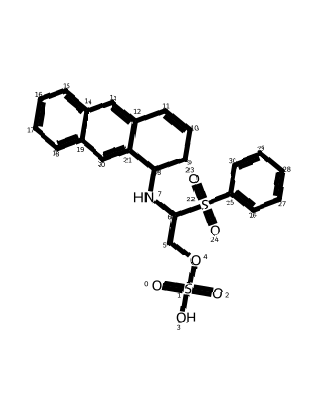 O=S(=O)(O)OCC(NC1CC=Cc2cc3ccccc3cc21)S(=O)(=O)c1ccccc1